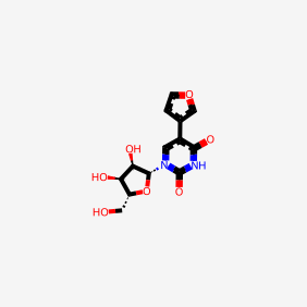 O=c1[nH]c(=O)n([C@@H]2O[C@H](CO)[C@@H](O)[C@H]2O)cc1-c1ccoc1